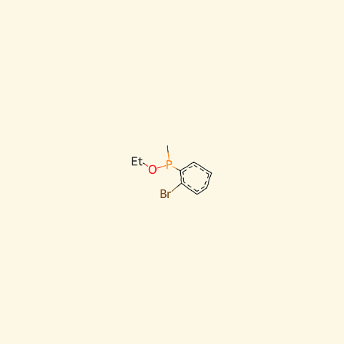 CCOP(C)c1ccccc1Br